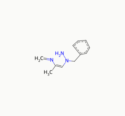 C=N/C(C)=C\N(N)Cc1ccccc1